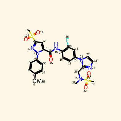 COc1ccc(-n2nc(S(C)(=O)=O)cc2C(=O)Nc2ccc(-n3ccnc3CN(C)S(C)(=O)=O)cc2F)cc1